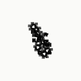 CC(C)C(CC(C)C(c1cccc(Cl)c1)C(O)(Cc1ccnc2ccccc12)C(F)(F)F)C(O)(Cc1cc2ccccc2[nH]1)C(F)(F)F